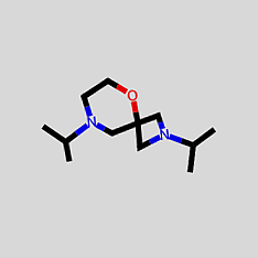 CC(C)N1CCOC2(C1)CN(C(C)C)C2